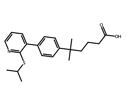 CC(C)Sc1ncccc1-c1ccc(C(C)(C)CCCC(=O)O)cc1